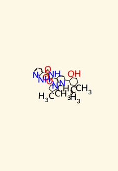 CC1CCN(c2nc(C3CC(C)(C)CCC3O)ccc2C(=O)NS(=O)(=O)c2cccnc2N)C1(C)C